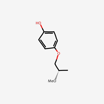 CO[C@@H](C)COc1ccc(O)cc1